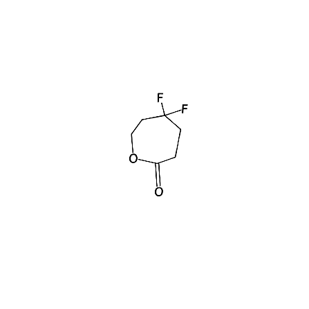 O=C1CCC(F)(F)CCO1